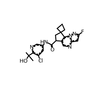 CC(C)(O)c1ncc(NC(=O)C2CC3(CCC3)c3c2cnc2cc(F)nn32)cc1Cl